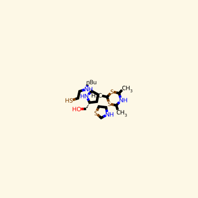 C1CSCN1.CC1NC(C)SC(C)S1.CCCCNCCS.OC[C@H]1CCCN1